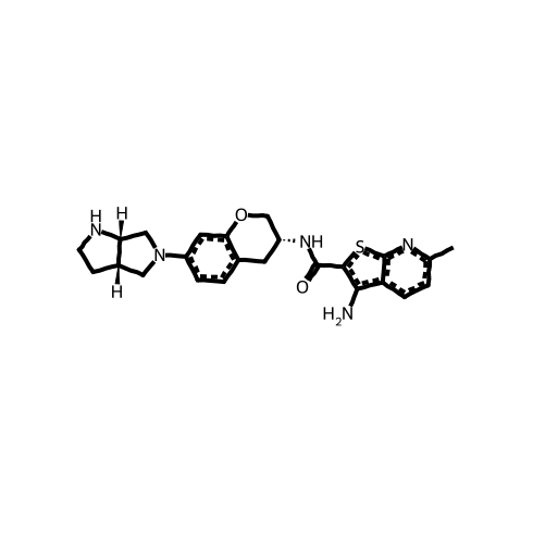 Cc1ccc2c(N)c(C(=O)N[C@H]3COc4cc(N5C[C@@H]6CCN[C@@H]6C5)ccc4C3)sc2n1